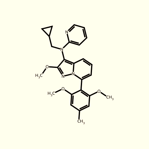 COc1cc(C)cc(OC)c1-c1cccc2c(N(CC3CC3)c3ccccn3)c(OC)nn12